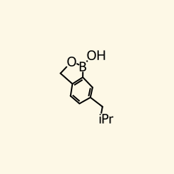 CC(C)Cc1ccc2c(c1)B(O)OC2